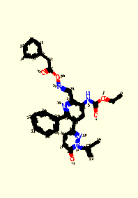 CCOC(=O)Nc1cc(-c2ccc(=O)n(C(C)C)n2)c(-c2ccccc2)nc1C=NOC(=O)Cc1ccccc1